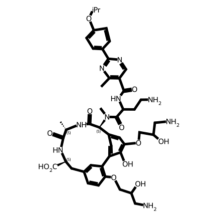 Cc1nc(-c2ccc(OC(C)C)cc2)ncc1C(=O)NC(CCN)C(=O)N(C)[C@@H]1C(=O)N[C@@H](C)C(=O)N[C@H](C(=O)O)Cc2ccc(OCC(O)CN)c(c2)-c2cc1cc(OCC(O)CN)c2O